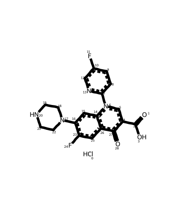 Cl.O=C(O)c1cn(-c2ccc(F)cn2)c2cc(N3CCNCC3)c(F)cc2c1=O